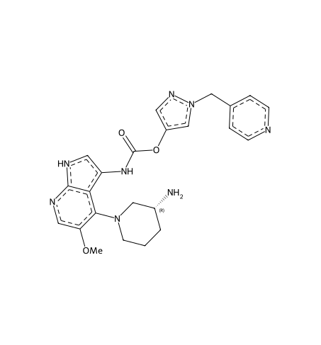 COc1cnc2[nH]cc(NC(=O)Oc3cnn(Cc4ccncc4)c3)c2c1N1CCC[C@@H](N)C1